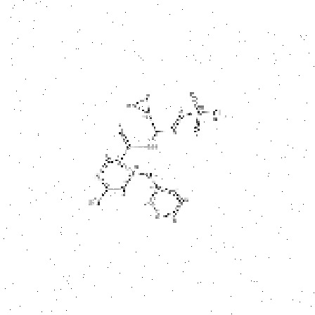 CC(C)(C)c1ncc(C(=O)NC(C=CS(C)(=O)=O)C2CC2)c(Oc2ccccc2)n1